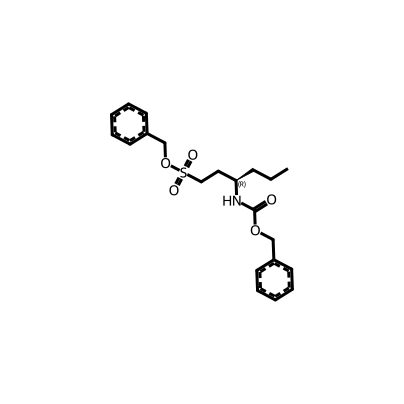 CCC[C@H](CCS(=O)(=O)OCc1ccccc1)NC(=O)OCc1ccccc1